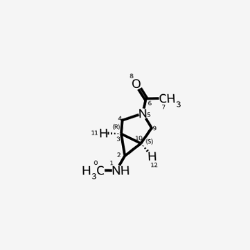 CNC1[C@H]2CN(C(C)=O)C[C@@H]12